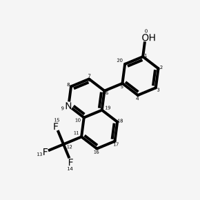 Oc1cccc(-c2[c]cnc3c(C(F)(F)F)cccc23)c1